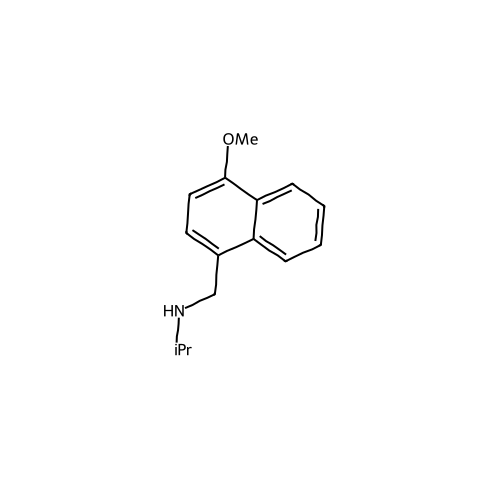 COc1ccc(CNC(C)C)c2ccccc12